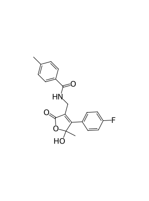 Cc1ccc(C(=O)NCC2=C(c3ccc(F)cc3)C(C)(O)OC2=O)cc1